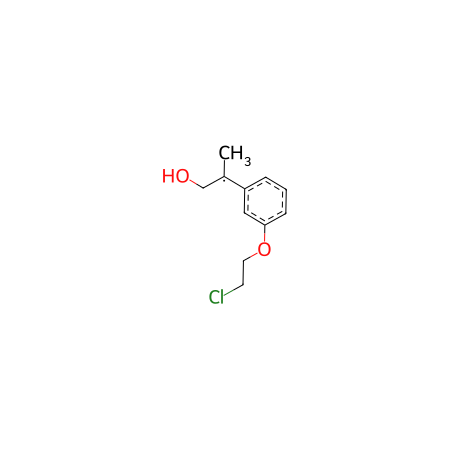 C[C](CO)c1cccc(OCCCl)c1